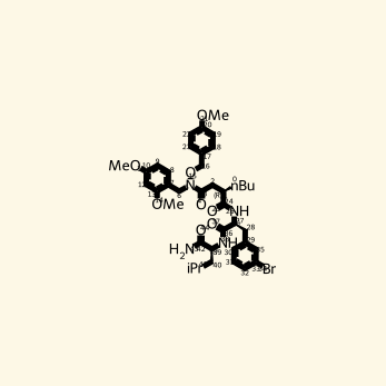 CCCC[C@H](CC(=O)N(Cc1ccc(OC)cc1OC)OCc1ccc(OC)cc1)C(=O)N[C@@H](Cc1cccc(Br)c1)C(=O)N[C@@H](CC(C)C)C(N)=O